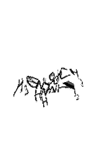 CCOC(=O)/C(=C/NC)C(=N)N